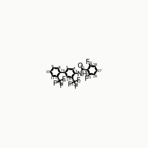 O=C(Nc1ccc(-c2ccccc2C(F)(F)F)cc1C(F)(F)F)c1c(F)cccc1F